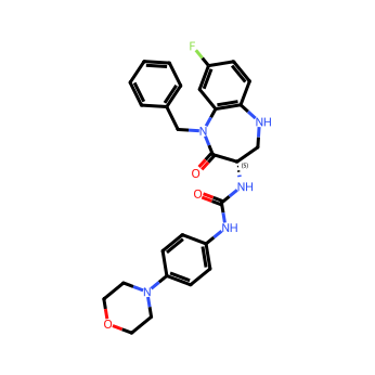 O=C(Nc1ccc(N2CCOCC2)cc1)N[C@H]1CNc2ccc(F)cc2N(Cc2ccccc2)C1=O